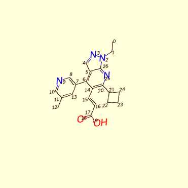 CCn1ncc2c(-c3cncc(C)c3)c(C=CC(=O)O)c(C3CCC3)nc21